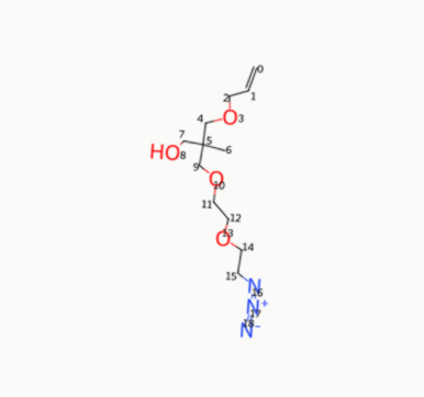 C=CCOCC(C)(CO)COCCOCCN=[N+]=[N-]